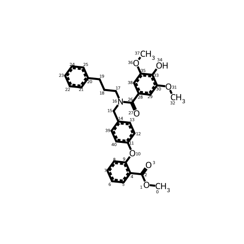 COC(=O)c1ccccc1Oc1ccc(CN(CCCc2ccccc2)C(=O)c2cc(OC)c(O)c(OC)c2)cc1